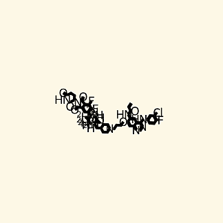 [2H]C1([2H])N(CC2CCN(CCCOc3cc4ncnc(Nc5ccc(F)c(Cl)c5)c4cc3NC(=O)C=C)CC2)C([2H])([2H])C([2H])([2H])N(c2cc3c(c(F)c2F)C(=O)N(C2CCC(=O)NC2=O)C3=O)C1([2H])[2H]